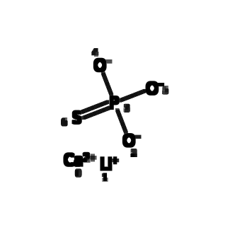 [Ca+2].[Li+].[O-]P([O-])([O-])=S